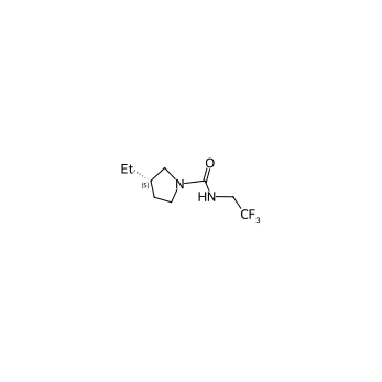 CC[C@H]1CCN(C(=O)NCC(F)(F)F)C1